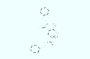 Nc1nnc(C(=O)OCc2ccccc2)cc1C(=O)OCc1ccccc1